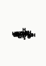 CC1CC(=O)NN=C1c1ccc(NC(=O)[C@H](N)CCC(=O)O)cc1